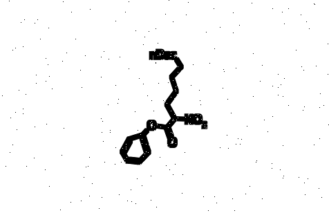 CCCCCCCCCCCCCCC(C(=O)Oc1ccccc1)[N+](=O)[O-]